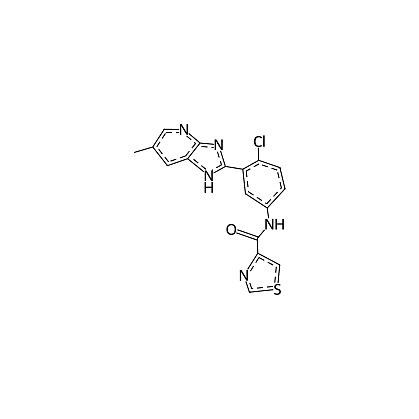 Cc1cnc2nc(-c3cc(NC(=O)c4cscn4)ccc3Cl)[nH]c2c1